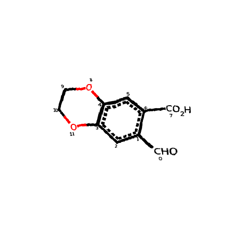 O=Cc1cc2c(cc1C(=O)O)OCCO2